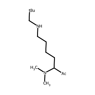 CC(=O)C(CCCCNCC(C)(C)C)N(C)C